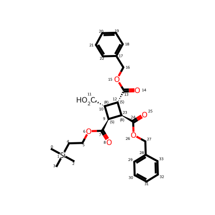 C[Si](C)(C)CCOC(=O)[C@H]1[C@H](C(=O)O)[C@H](C(=O)OCc2ccccc2)[C@H]1C(=O)OCc1ccccc1